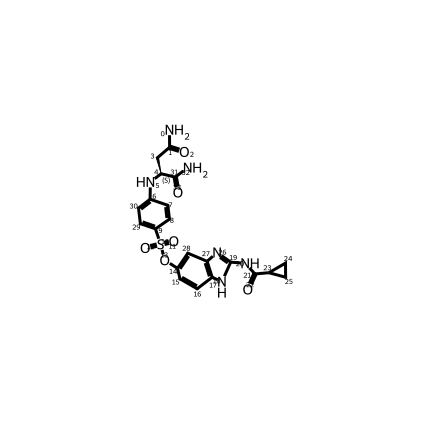 NC(=O)C[C@H](Nc1ccc(S(=O)(=O)Oc2ccc3[nH]c(NC(=O)C4CC4)nc3c2)cc1)C(N)=O